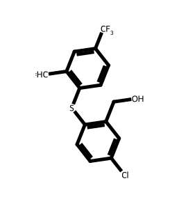 [CH]c1cc(C(F)(F)F)ccc1Sc1ccc(Cl)cc1CO